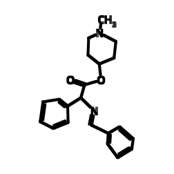 CN1CCC(OC(=O)C(N=Cc2ccccc2)c2ccccc2)CC1